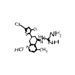 Cc1ccnc2c1C(=NNC(=N)N)CC(c1sc(Cl)cc1Cl)C2.Cl